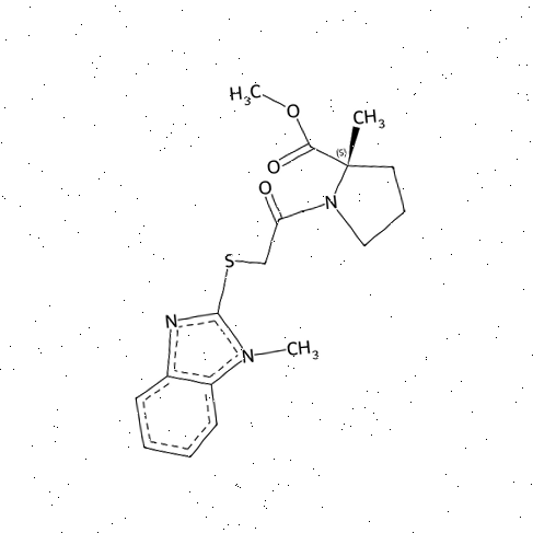 COC(=O)[C@]1(C)CCCN1C(=O)CSc1nc2ccccc2n1C